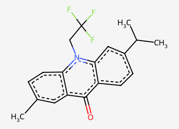 Cc1ccc2c(c1)c(=O)c1ccc(C(C)C)cc1n2CC(F)(F)F